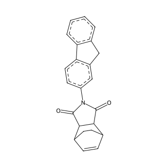 O=C1C2C3C=CC(CC3)C2C(=O)N1c1ccc2c(c1)Cc1ccccc1-2